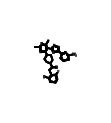 Cc1nc(C)c(-c2nnc(-c3cccc(C(F)(F)F)n3)o2)c(C2CCN(C(=O)Cc3c(F)cccc3F)CC2)n1